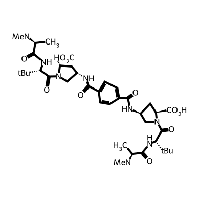 CN[C@@H](C)C(=O)N[C@H](C(=O)N1C[C@@H](NC(=O)c2ccc(C(=O)N[C@H]3C[C@@H](C(=O)O)N(C(=O)[C@@H](NC(=O)[C@H](C)NC)C(C)(C)C)C3)cc2)C[C@H]1C(=O)O)C(C)(C)C